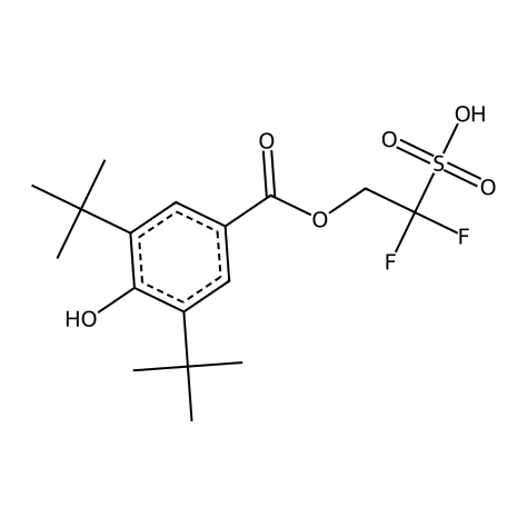 CC(C)(C)c1cc(C(=O)OCC(F)(F)S(=O)(=O)O)cc(C(C)(C)C)c1O